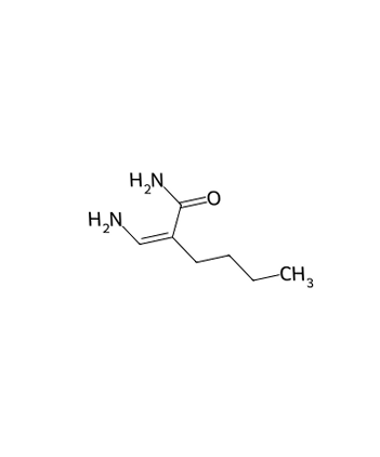 CCCCC(=CN)C(N)=O